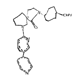 O=C1N([C@H]2CC[C@H](O)CC2)CC[C@]12CCCN(c1ccc(-c3ccncc3)cn1)C2